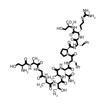 CC(C)C[C@H](NC(=O)[C@@H]1CCCN1C(=O)[C@H](CC(C)C)NC(=O)[C@H](CC(N)=O)NC(=O)[C@H](C)NC(=O)[C@@H](NC(=O)[C@H](C)NC(=O)CNC(=O)[C@H](C)NC(=O)[C@@H](N)CO)[C@@H](C)O)C(=O)N[C@@H](CCCN=C(N)N)C(=O)N[C@@H](CO)C(=O)O